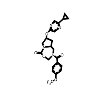 O=C(c1ccc(OC(F)(F)F)cc1)N1CCC(=O)N2CC(Oc3cnc(C4CC4)cn3)CC2C1